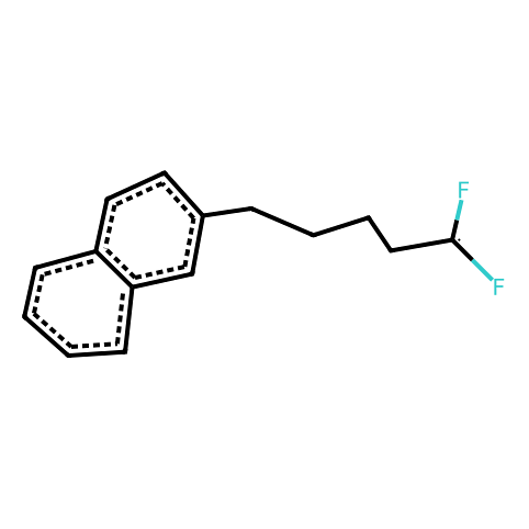 F[C](F)CCCCc1ccc2ccccc2c1